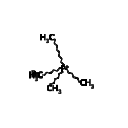 CCCCCCCCCC[P+](CCCCCCC)(CCCCCCC)CCCCCCC.[Br-]